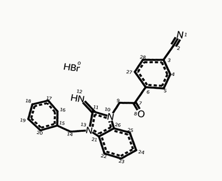 Br.N#Cc1ccc(C(=O)Cn2c(=N)n(Cc3ccccc3)c3ccccc32)cc1